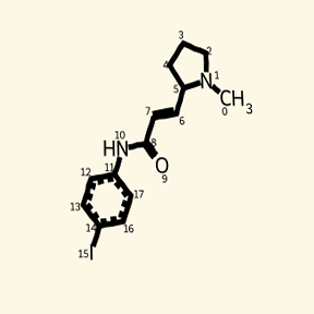 CN1CCCC1C=CC(=O)Nc1ccc(I)cc1